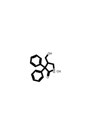 O=C1NCC(CO)C1(c1ccccc1)c1ccccc1.[CH]